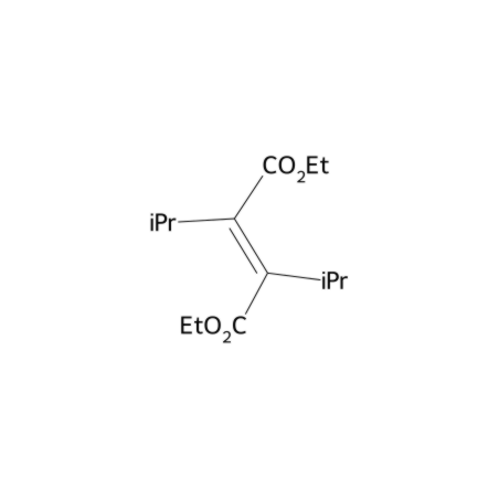 CCOC(=O)C(=C(C(=O)OCC)C(C)C)C(C)C